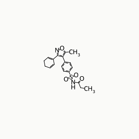 CCC(=O)NS(=O)(=O)c1ccc(-c2c(C3=CCCC=C3)noc2C)cc1